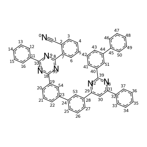 N#Cc1ccccc1-c1nc(-c2ccccc2)nc(-c2cccc(-c3cccc(-c4cc(-c5ccccc5)nc(-c5cccc(-c6ccccc6)c5)n4)c3)c2)n1